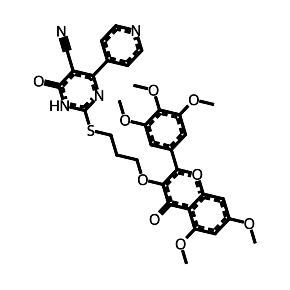 COc1cc(OC)c2c(=O)c(OCCCSc3nc(-c4ccncc4)c(C#N)c(=O)[nH]3)c(-c3cc(OC)c(OC)c(OC)c3)oc2c1